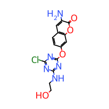 Nc1cc2ccc(Oc3nc(Cl)nc(NCCO)n3)cc2oc1=O